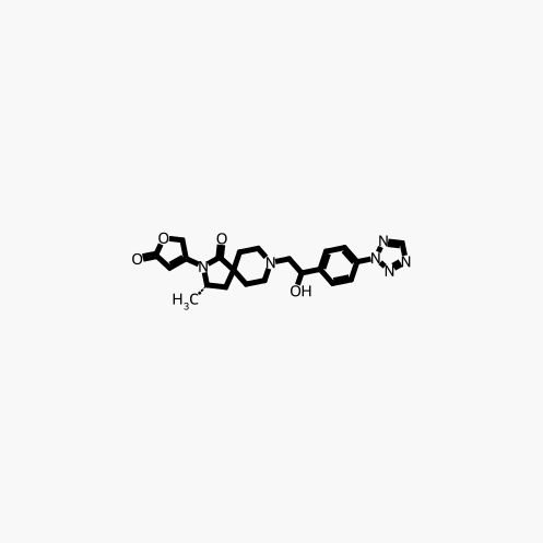 C[C@H]1CC2(CCN(CC(O)c3ccc(-n4ncnn4)cc3)CC2)C(=O)N1C1=CC(=O)OC1